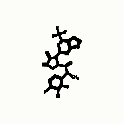 CN(C(=O)C1CNC(=O)N1c1nc(C(F)(F)F)c2ccsc2n1)c1ccc(F)c(Cl)c1F